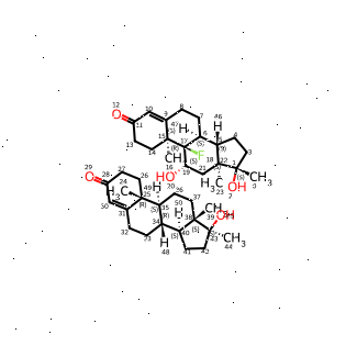 C[C@]1(O)CC[C@H]2[C@@H]3CCC4=CC(=O)CC[C@]4(C)[C@@]3(F)[C@@H](O)C[C@@]21C.C[C@]12CCC(=O)C=C1CC[C@@H]1[C@@H]2CC[C@@]2(C)[C@H]1CC[C@]2(C)O